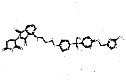 Cc1nc(COc2ccc(C(C)(C)c3ccc(OCCCNc4cccc5c4C(=O)N(C4CCC(=O)NC4=O)C5=O)cc3)cc2)cs1